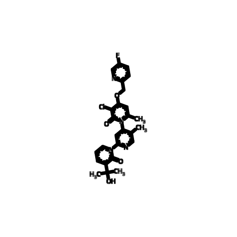 Cc1cnc(-n2cccc(C(C)(C)O)c2=O)cc1-n1c(C)cc(OCc2ccc(F)cn2)c(Cl)c1=O